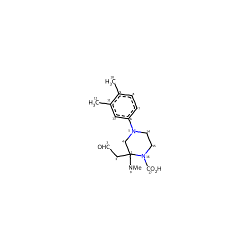 CNC1(CC=O)CN(c2ccc(C)c(C)c2)CCN1C(=O)O